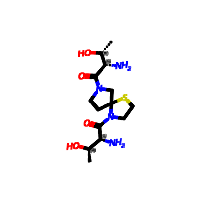 C[C@@H](O)[C@H](N)C(=O)N1CCC2(C1)SCCN2C(=O)[C@@H](N)[C@@H](C)O